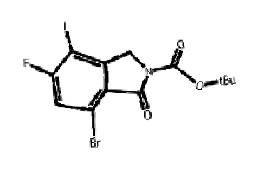 CC(C)(C)OC(=O)N1Cc2c(I)c(F)cc(Br)c2C1=O